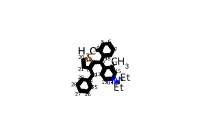 CCNCC.Cc1ccccc1C(c1ccccc1C)c1sccc1Cc1ccccc1